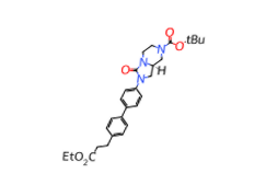 CCOC(=O)CCc1ccc(-c2ccc(N3C[C@@H]4CN(C(=O)OC(C)(C)C)CCN4C3=O)cc2)cc1